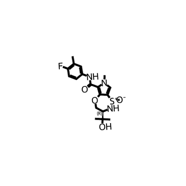 Cc1cc(NC(=O)c2c3c(cn2C)[S+]([O-])N[C@@H](C(C)(C)O)CO3)ccc1F